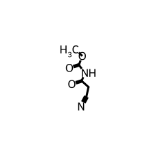 COC(=O)NC(=O)CC#N